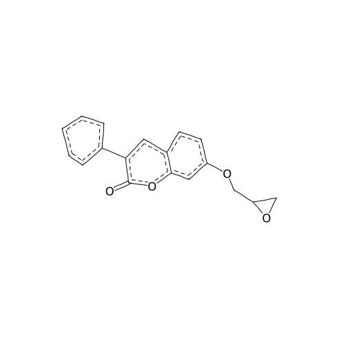 O=c1oc2cc(OCC3CO3)ccc2cc1-c1ccccc1